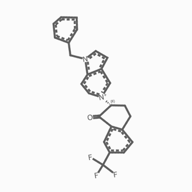 O=C1c2cc(C(F)(F)F)ccc2CC[C@H]1[n+]1ccc2c(ccn2Cc2ccccc2)c1